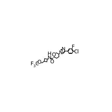 O=C(NC1CC(COC(F)(F)F)C1)[C@@H]1CC[C@@H](n2cnc(-c3ccc(Cl)c(F)c3)c2)CO1